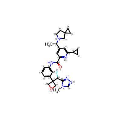 C[C@H](c1cc(C(=O)Nc2cccc(C3([C@@H](F)c4nncn4C)COC3)c2)nc(C2CC2)c1)N1CCC2(CC2)C1